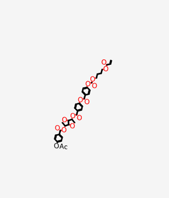 C=CC(=O)OCCCCOC(=O)Oc1ccc(C(=O)Oc2ccc(C(=O)O[C@H]3COC4C3OC[C@@H]4OC(=O)c3ccc(OC(C)=O)cc3)cc2)cc1